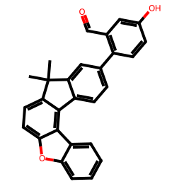 CC1(C)c2cc(-c3ccc(O)cc3C=O)ccc2-c2c1ccc1oc3ccccc3c21